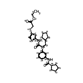 CCOC(=O)CSc1cnc(NC(=O)N(CC2CCCC2)c2cccc(NC(=O)C3CCCC3)c2)s1